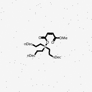 CCCCCCCCCCCC[Si](CCCCCCCCCCCC)(CCCCCCCCCCCC)OC(=O)/C=C\C(=O)OC